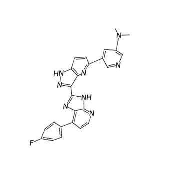 CN(C)c1cncc(-c2ccc3[nH]nc(-c4nc5c(-c6ccc(F)cc6)ccnc5[nH]4)c3n2)c1